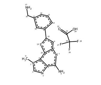 Cn1cnc2c(N)nc3cc(-c4cccc(CN)c4)sc3c21.O=C(O)C(F)(F)F